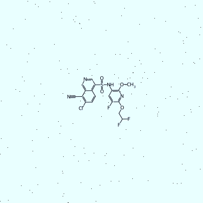 COc1nc(OCC(F)F)c(F)cc1NS(=O)(=O)c1cncc2c(C#N)c(Cl)ccc12